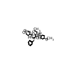 COc1ccc(S(=O)(=O)N(CC(C)C)C[C@@H](O)[C@H](Cc2ccccc2)NC(=O)C2CCS(=O)(=O)CC2)cc1